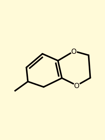 CC1C=CC2=C(C1)OCCO2